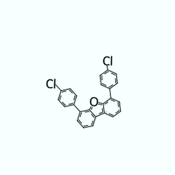 Clc1ccc(-c2cccc3c2oc2c(-c4ccc(Cl)cc4)cccc23)cc1